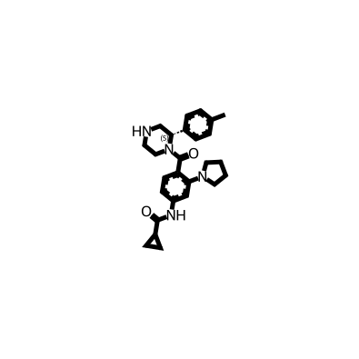 Cc1ccc([C@H]2CNCCN2C(=O)c2ccc(NC(=O)C3CC3)cc2N2CCCC2)cc1